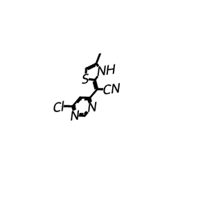 CC1=CS/C(=C(/C#N)c2cc(Cl)ncn2)N1